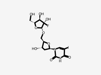 O=c1[nH]c(=O)n([C@H]2C[C@H](O)[C@@H](CO[C@@H]3O[C@H](CO)[C@@H](O)[C@@]3(O)F)O2)cc1I